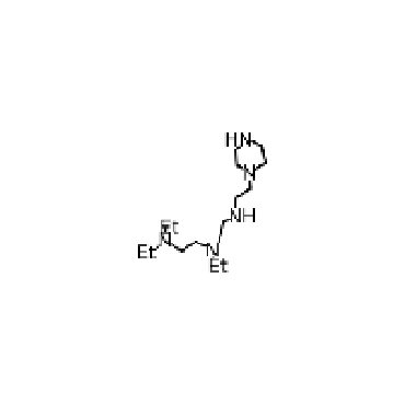 CCN(CC)CCN(CC)CCNCCN1CCNCC1